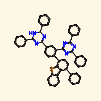 c1ccc(C2=NC(c3ccc(-c4ccc(-c5ccccc5)c5c4sc4ccccc45)c(-c4nc(-c5ccccc5)nc(-c5ccccc5)n4)c3)=NC(c3ccccc3)N2)cc1